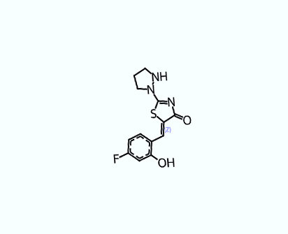 O=C1N=C(N2CCCN2)S/C1=C\c1ccc(F)cc1O